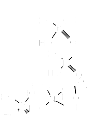 C[N+](C)(C)C.O=C([O-])O.O=P(O)(O)O.O=P(O)(O)O.O=P(O)(O)O